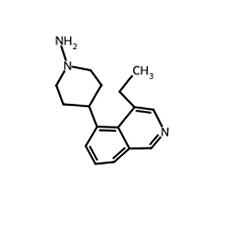 CCc1cncc2cccc(C3CCN(N)CC3)c12